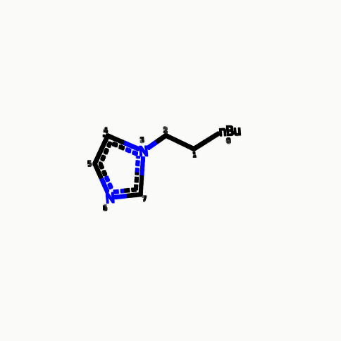 CCCCCCn1[c]cnc1